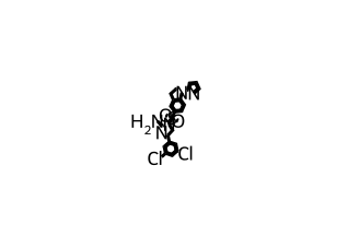 Cn1cccc1N1CCc2cc(S(=O)(=O)N3CC(c4cc(Cl)cc(Cl)c4)N=C3N)ccc21